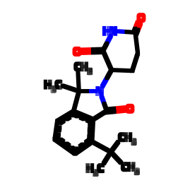 CC(C)(C)c1cccc2c1C(=O)N(C1CCC(=O)NC1=O)C2(C)C